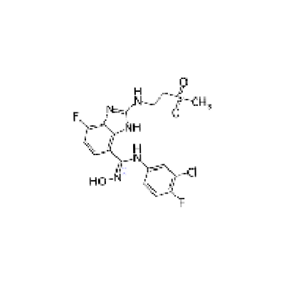 CS(=O)(=O)CCNc1nc2c(F)ccc(/C(=N\O)Nc3ccc(F)c(Cl)c3)c2[nH]1